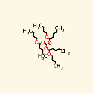 CCCCOC(CCCC)[O][Y]([O]C(CCCC)OCCCC)[O]C(CCCC)OCCCC